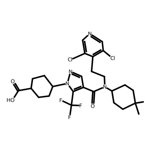 CC1(C)CCC(N(CCc2c(Cl)cncc2Cl)C(=O)c2cnn(C3CCC(C(=O)O)CC3)c2C(F)(F)F)CC1